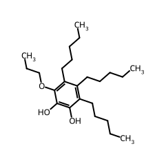 CCCCCc1c(O)c(O)c(OCCC)c(CCCCC)c1CCCCC